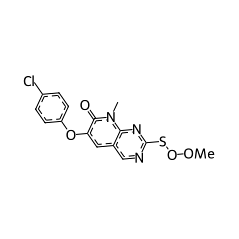 COOSc1ncc2cc(Oc3ccc(Cl)cc3)c(=O)n(C)c2n1